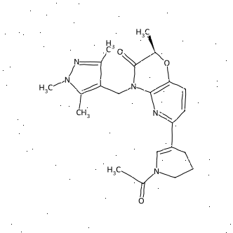 CC(=O)N1C=C(c2ccc3c(n2)N(Cc2c(C)nn(C)c2C)C(=O)[C@@H](C)O3)CCC1